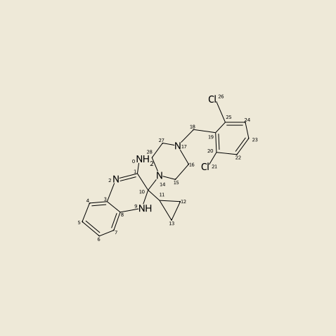 NC1=Nc2ccccc2NC1(C1CC1)N1CCN(Cc2c(Cl)cccc2Cl)CC1